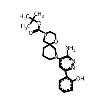 CC(C)(C)OC(=O)N1CCOC2(CCCN(c3cc(-c4ccccc4O)nnc3N)C2)C1